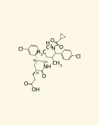 CC(C(C)[C@@H]1NC(=O)[C@@H](CCC(=O)O)C[C@@H]1c1cccc(Cl)c1)C(c1ccc(Cl)cc1)N(C)S(=O)(=O)C1CC1